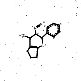 CC1C2=C(CCC2)OC(c2ccccc2)C1N=[N]